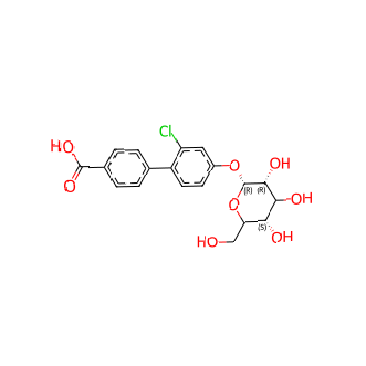 O=C(O)c1ccc(-c2ccc(O[C@H]3OC(CO)[C@@H](O)C(O)[C@H]3O)cc2Cl)cc1